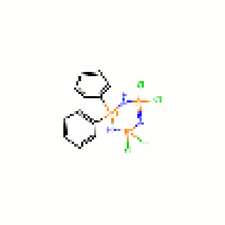 ClP1(Cl)=N[PH](Cl)(Cl)N[PH](c2ccccc2)(c2ccccc2)N1